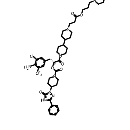 Nc1c(Cl)cc(C[C@@H](OC(=O)N2CCC(n3nc(-c4ccccc4)[nH]c3=O)CC2)C(=O)N2CCC(C3CCN(CCC(=O)OCCCN4CCOCC4)CC3)CC2)cc1C(F)(F)F